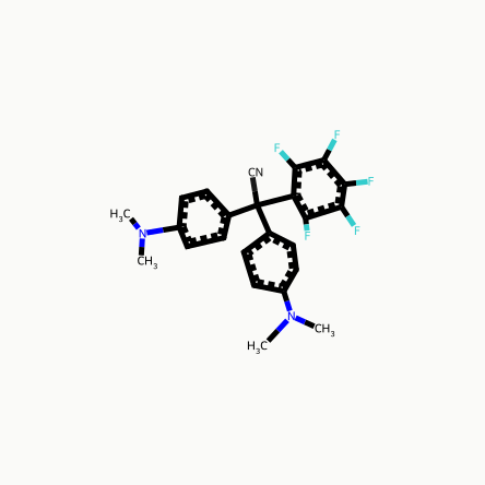 CN(C)c1ccc(C(C#N)(c2ccc(N(C)C)cc2)c2c(F)c(F)c(F)c(F)c2F)cc1